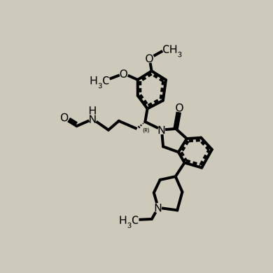 CCN1CCC(c2cccc3c2CN([C@H](CCCNC=O)c2ccc(OC)c(OC)c2)C3=O)CC1